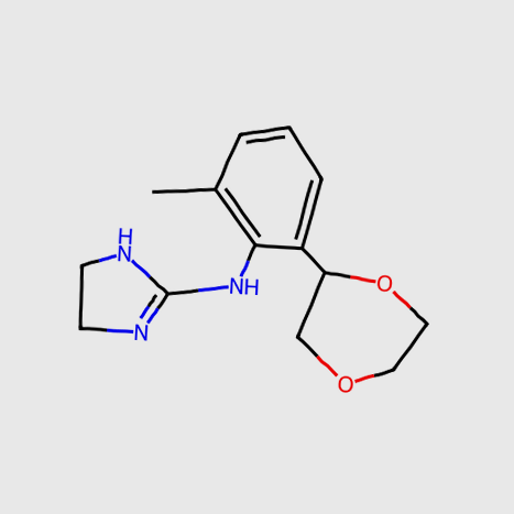 Cc1cccc(C2COCCO2)c1NC1=NCCN1